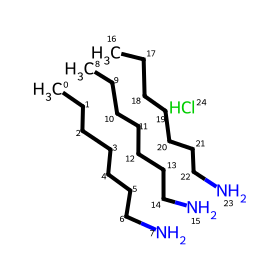 CCCCCCCN.CCCCCCCN.CCCCCCCN.Cl